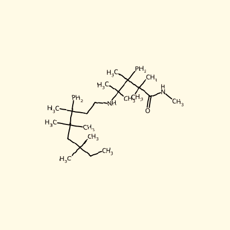 CCC(C)(C)CC(C)(C)C(C)(P)CCNC(C)(C)C(C)(P)C(C)(C)C(=O)NC